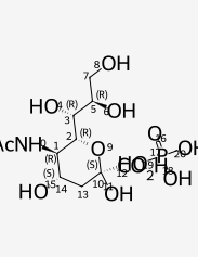 CC(=O)N[C@H]1[C@H]([C@H](O)[C@H](O)CO)O[C@](O)(C(=O)O)C[C@@H]1O.O=P(O)(O)O